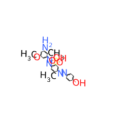 COc1cc(N)c(C)c(N=Nc2cc(C)c(N=Nc3ccc(O)cc3)cc2S(=O)(=O)O)c1